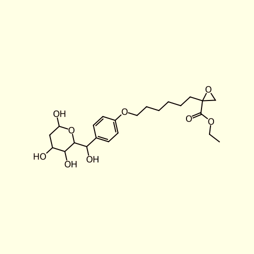 CCOC(=O)C1(CCCCCCOc2ccc(C(O)C3OC(O)CC(O)C3O)cc2)CO1